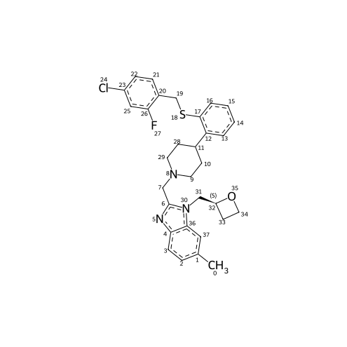 Cc1ccc2nc(CN3CCC(c4ccccc4SCc4ccc(Cl)cc4F)CC3)n(C[C@@H]3CCO3)c2c1